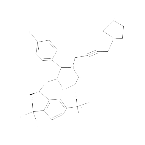 C[C@@H](OC1OCCN(CC#CCN2CCCC2)C1c1ccc(F)cc1)c1cc(C(F)(F)F)ccc1C(F)(F)F